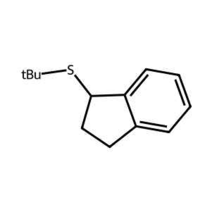 CC(C)(C)SC1CCc2ccccc21